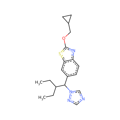 CCC(CC)C(c1ccc2nc(OCC3CC3)sc2c1)n1cncn1